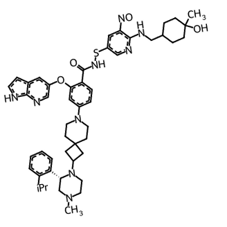 CC(C)c1ccccc1[C@H]1CN(C)CCN1C1CC2(CCN(c3ccc(C(=O)NSc4cnc(NCC5CCC(C)(O)CC5)c(N=O)c4)c(Oc4cnc5[nH]ccc5c4)c3)CC2)C1